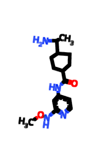 CONc1cc(NC(=O)C2CCC(C(C)N)CC2)ccn1